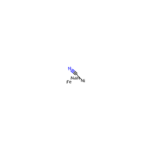 N#[C][Ni].[Fe].[NaH]